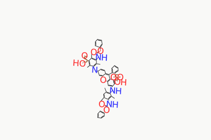 Cc1cc(C)c(Nc2ccc3c(-c4ccccc4S(=O)(=O)O)c4cc/c(=N\c5c(C)c(NC(=O)Oc6ccccc6)c(C)c(S(=O)O)c5C)cc-4oc3c2)c(C)c1NC(=O)Oc1ccccc1